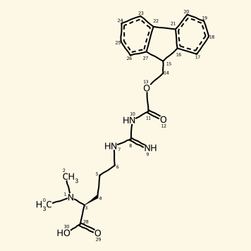 CN(C)[C@@H](CCCNC(=N)NC(=O)OCC1c2ccccc2-c2ccccc21)C(=O)O